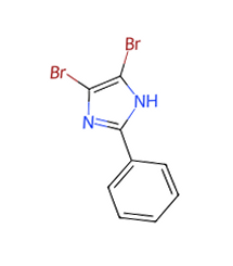 Brc1nc(-c2ccccc2)[nH]c1Br